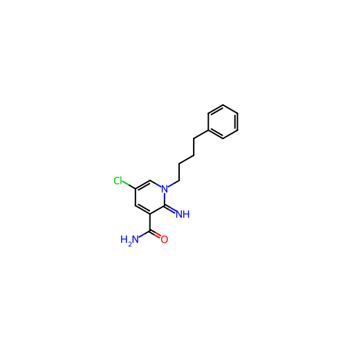 N=c1c(C(N)=O)cc(Cl)cn1CCCCc1ccccc1